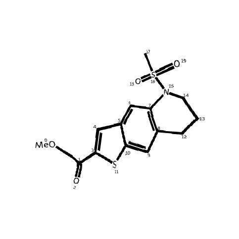 COC(=O)c1cc2cc3c(cc2s1)CCCN3S(C)(=O)=O